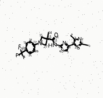 Cc1nc(C)c(-c2csc(NC(=O)C3(C)CN(c4ccc(C(F)(F)F)cc4)C3)n2)s1